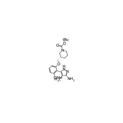 COc1cccc(OC[C@H]2CCCN(C(=O)OC(C)(C)C)C2)c1-c1[nH]nc(N)c1C